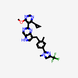 COc1ncnc(C2CC2)c1-c1ncc2[nH]cc(Cc3ccc(-c4nc(C(F)(F)F)cn4C)cc3C)c2n1